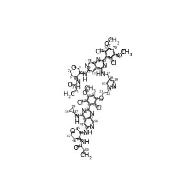 C=CC(=O)N[C@H]1CCOC[C@H]1Nc1cc2c(NCc3cnn(CCOc4cc(OC)c(Cl)c(-c5nc(NC6CC6)c6cc(N[C@@H]7COCC[C@@H]7NC(=O)C=C)ncc6n5)c4Cl)c3)nc(-c3c(Cl)c(OC)cc(OC)c3Cl)nc2cn1